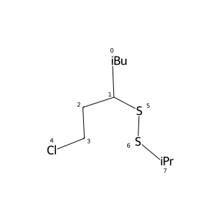 CCC(C)C(CCCl)SSC(C)C